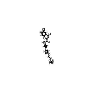 O=C1C[C@H](C(=O)NC23CC(n4cc(OCCOC(F)(F)F)cn4)(C2)C3)Oc2cc(F)c(Cl)cc21